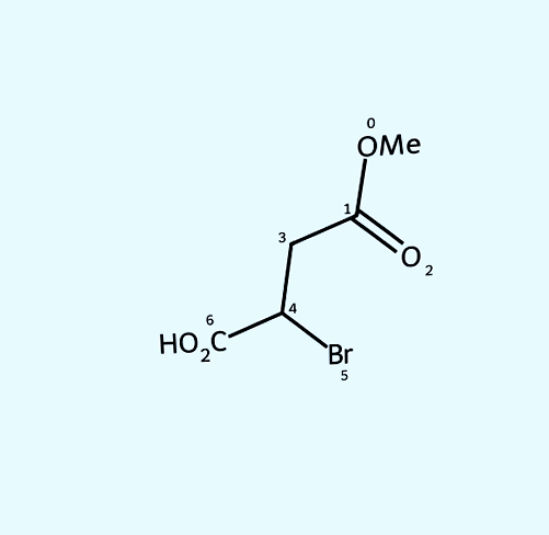 COC(=O)CC(Br)C(=O)O